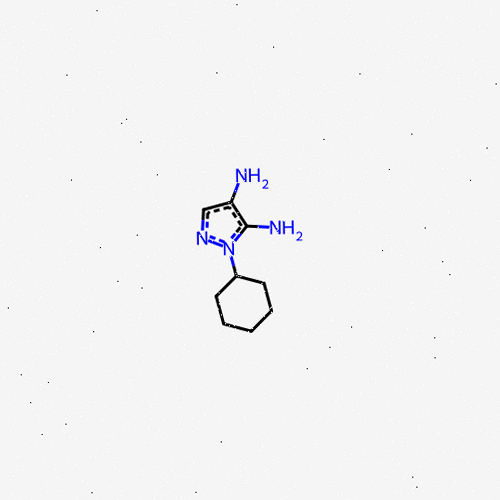 Nc1cnn(C2CCCCC2)c1N